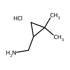 CC1(C)CC1CN.Cl